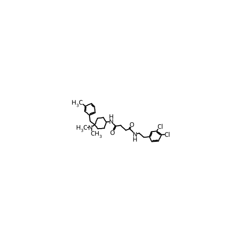 Cc1cccc(CC2(N(C)C)CCC(NC(=O)CCC(=O)NCCc3ccc(Cl)c(Cl)c3)CC2)c1